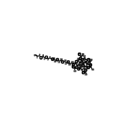 C=CCOCCOCCOCCOCCOCCOCCO[C@@H]1O[C@@H](COC(C)=O)[C@@H](O[C@@H]2OC(COC(C)=O)[C@H](OC(C)=O)[C@H](OC(C)=O)C2OC(C)=O)C(OC(C)=O)C1OC(C)=O